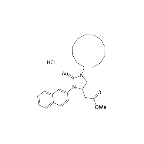 COC(=O)CC1CN(C2CCCCCCCCCCC2)[C](=[Au])N1c1ccc2ccccc2c1.Cl